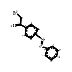 O=C(CBr)c1ccc(N=Nc2ccccc2)cc1